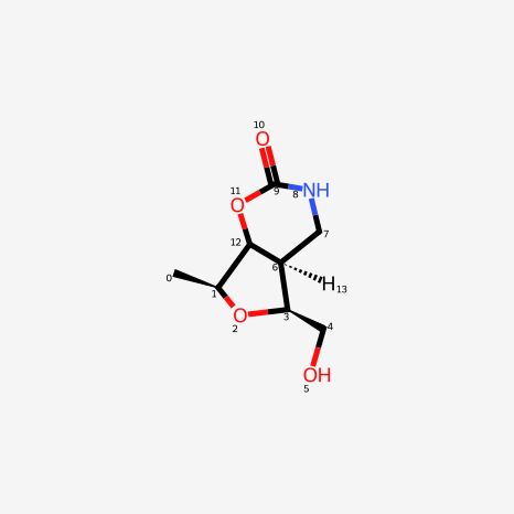 C[C@@H]1O[C@H](CO)[C@@H]2CNC(=O)OC12